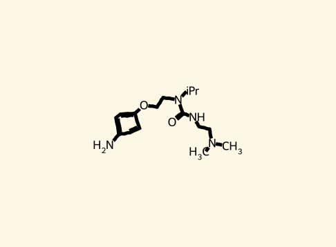 CC(C)N(CCOc1ccc(N)cc1)C(=O)NCCN(C)C